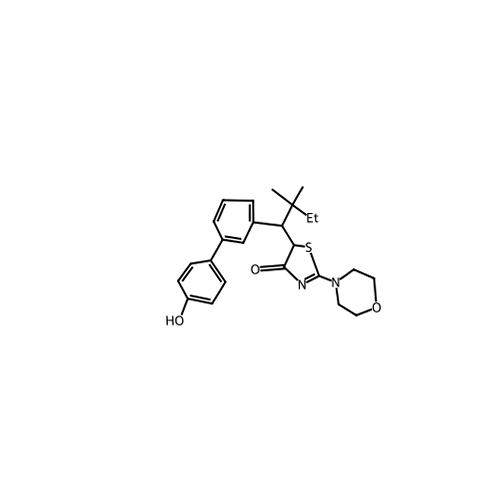 CCC(C)(C)C(c1cccc(-c2ccc(O)cc2)c1)C1SC(N2CCOCC2)=NC1=O